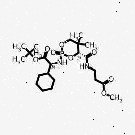 COC(=O)CCNC(=O)[C@@H]1OP(=O)(N[C@H](C(=O)OC(C)(C)C)C2CCCCC2)OCC1(C)C